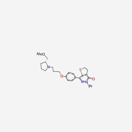 COC[C@H]1CCCN1CCCOc1ccc(-c2nn(C(C)C)c(=O)c3c2SCC3)cc1